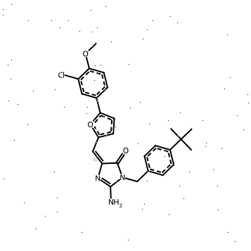 COc1ccc(-c2ccc(/C=C3/N=C(N)N(Cc4ccc(C(C)(C)C)cc4)C3=O)o2)cc1Cl